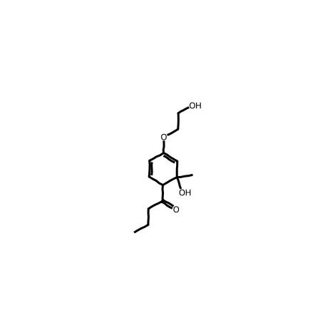 CCCC(=O)C1C=CC(OCCO)=CC1(C)O